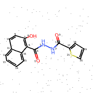 O=C(NNC(=O)c1c(O)ccc2ccccc12)c1cccs1